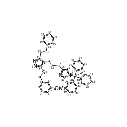 COc1cccc(CSc2nnc(CCc3ccccc3)n2CCCc2cn(C(c3ccccc3)(c3ccccc3)c3ccccc3)cn2)c1